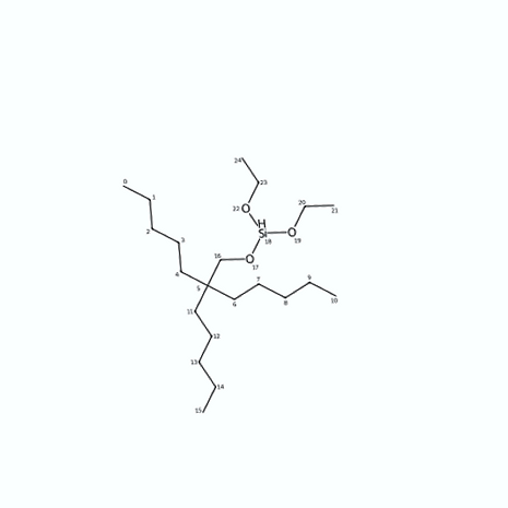 CCCCCC(CCCCC)(CCCCC)CO[SiH](OCC)OCC